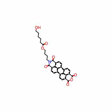 O=C(CCCCCO)OCCCCN1C(=O)c2ccc3c4ccc5c6c(ccc(c7ccc(c2c37)C1=O)c64)C(=O)OC5=O